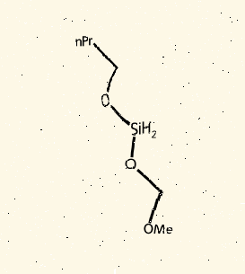 CCCCO[SiH2]OCOC